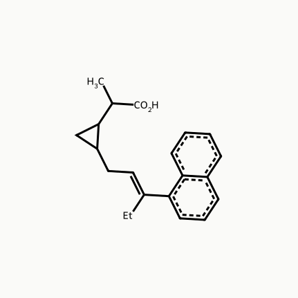 CCC(=CCC1CC1C(C)C(=O)O)c1cccc2ccccc12